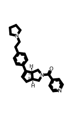 O=C(c1ccncc1)N1C[C@H]2CC=C(c3ccc(CCN4CCCC4)cc3)[C@H]2C1